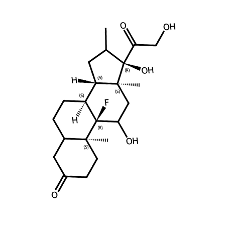 CC1C[C@H]2[C@@H]3CCC4CC(=O)CC[C@]4(C)[C@@]3(F)C(O)C[C@]2(C)[C@@]1(O)C(=O)CO